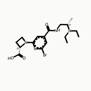 CCN(CC)[C@@H](C)CNC(=O)c1cc(Br)nc(N2CC[C@H]2C(=O)O)c1